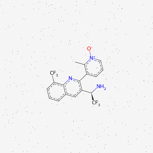 Cc1c(-c2nc3c(C(F)(F)F)cccc3cc2[C@@H](N)C(F)(F)F)ccc[n+]1[O-]